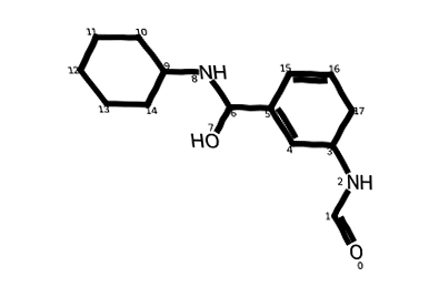 O=CNC1C=C(C(O)NC2CCCCC2)C=CC1